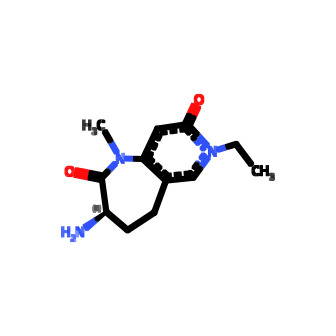 CCn1cc2c(cc1=O)N(C)C(=O)[C@H](N)CC2